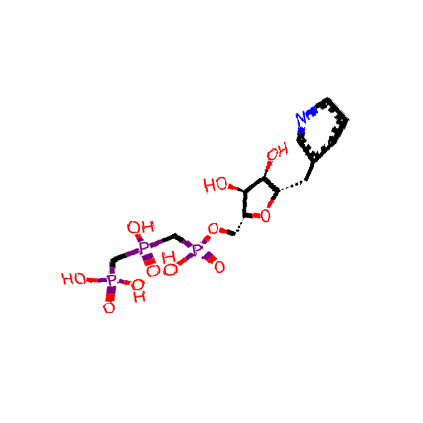 O=P(O)(O)CP(=O)(O)CP(=O)(O)OC[C@H]1O[C@@H](Cc2cccnc2)[C@H](O)[C@@H]1O